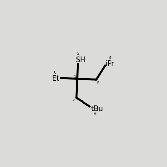 CCC(S)(CC(C)C)CC(C)(C)C